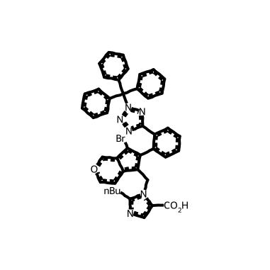 CCCCc1ncc(C(=O)O)n1Cc1c2ccocc-2c(Br)c1-c1ccccc1-c1nnn(C(c2ccccc2)(c2ccccc2)c2ccccc2)n1